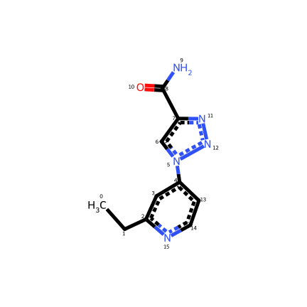 CCc1cc(-n2cc(C(N)=O)nn2)ccn1